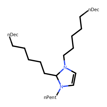 CCCCCCCCCCCCCCCC1N(CCCCC)C=CN1CCCCCCCCCCCCCCC